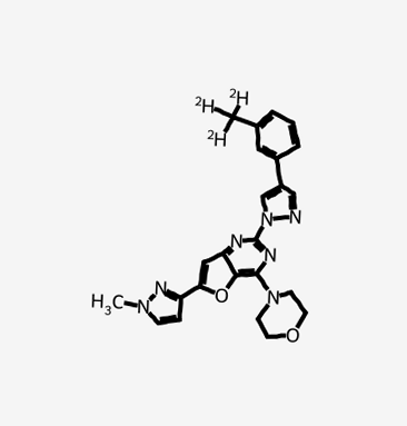 [2H]C([2H])([2H])c1cccc(-c2cnn(-c3nc(N4CCOCC4)c4oc(-c5ccn(C)n5)cc4n3)c2)c1